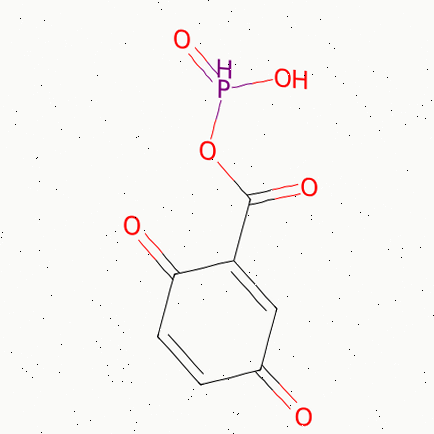 O=C1C=CC(=O)C(C(=O)O[PH](=O)O)=C1